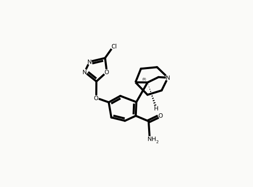 NC(=O)c1ccc(Oc2nnc(Cl)o2)cc1[C@@H]1CN2CCC1CC2